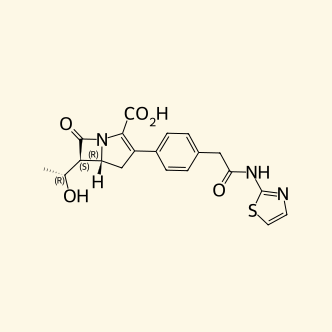 C[C@@H](O)[C@H]1C(=O)N2C(C(=O)O)=C(c3ccc(CC(=O)Nc4nccs4)cc3)C[C@H]12